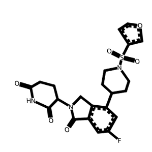 O=C1CCC(N2Cc3c(cc(F)cc3C3CCN(S(=O)(=O)c4ccoc4)CC3)C2=O)C(=O)N1